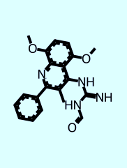 COc1ccc(OC)c2c(NC(=N)NC=O)c(C)c(-c3ccccc3)nc12